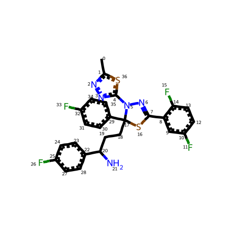 Cc1nnc(N2N=C(c3cc(F)ccc3F)SC2(CCC(N)c2ccc(F)cc2)c2ccc(F)cc2)s1